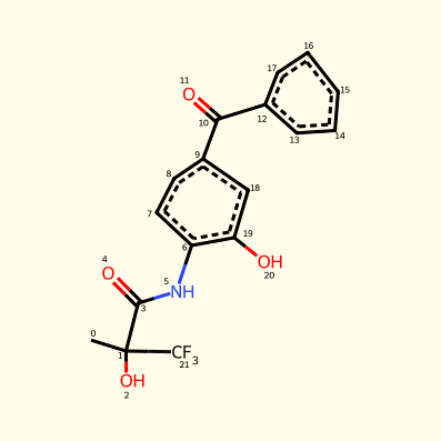 CC(O)(C(=O)Nc1ccc(C(=O)c2ccccc2)cc1O)C(F)(F)F